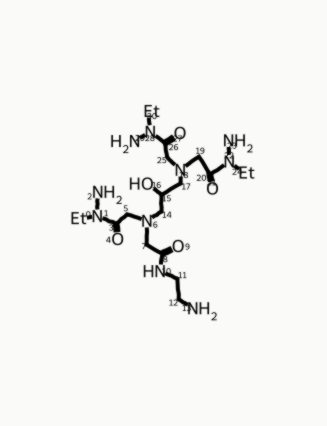 CCN(N)C(=O)CN(CC(=O)NCCN)CC(O)CN(CC(=O)N(N)CC)CC(=O)N(N)CC